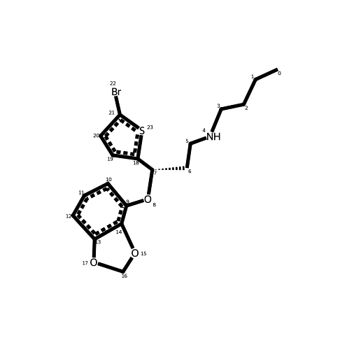 CCCCNCC[C@H](Oc1cccc2c1OCO2)c1ccc(Br)s1